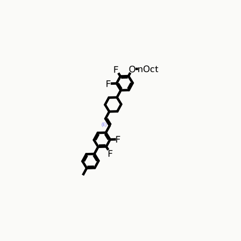 CCCCCCCCOc1ccc(C2CCC(/C=C/c3ccc(-c4ccc(C)cc4)c(F)c3F)CC2)c(F)c1F